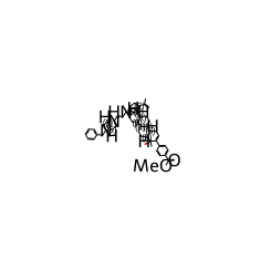 C=C(C)[C@@H]1CC[C@]2(NCCN3C[C@@H]4C[C@H]3CN4Cc3ccccc3)CC[C@]3(C)[C@H](CC[C@@H]4[C@@]5(C)CC=C(c6ccc(C(=O)OC)cc6)C(C)(C)[C@@H]5CC[C@]43C)[C@@H]12